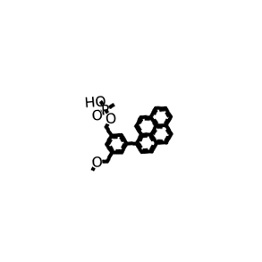 COCc1cc(COP(C)(=O)O)cc(-c2ccc3ccc4cccc5ccc2c3c45)c1